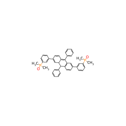 CP(C)(=O)c1cccc(C2=CC3C(=C(c4ccccc4)c4cc(-c5cccc(P(C)(C)=O)c5)ccc4C3c3ccccc3)C=C2)c1